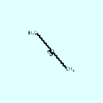 CCCCCCCCCCCCCCC(=O)OC(=O)CCCCCCCCCCCCC